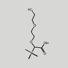 C[Si](C)(C)C(OCCOCCO)C(=O)O